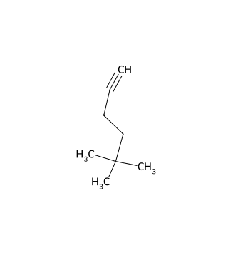 C#CCCC(C)(C)C